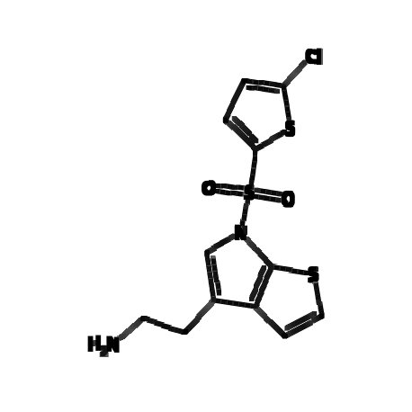 NCCc1cn(S(=O)(=O)c2ccc(Cl)s2)c2sccc12